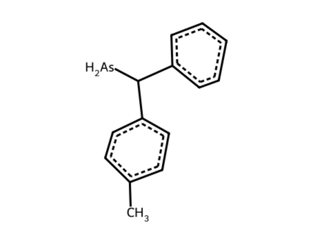 Cc1ccc(C([AsH2])c2ccccc2)cc1